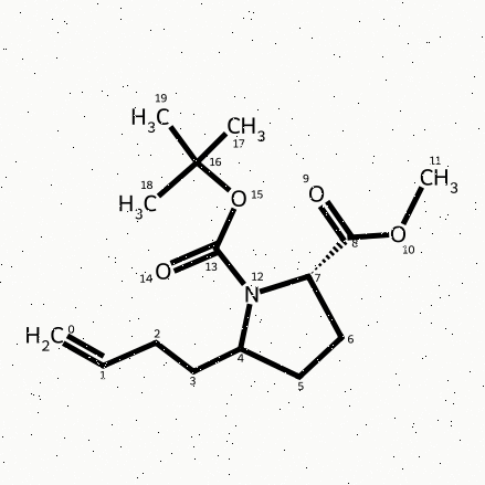 C=CCCC1CC[C@@H](C(=O)OC)N1C(=O)OC(C)(C)C